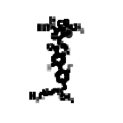 COCCN(C)Cc1ccc(-c2cc3ncn(CCC(C)(C(=O)NO)S(C)(=O)=O)c(=O)c3cc2F)c(F)c1